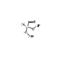 C=C[Si](Cl)(OCCC)OCCC